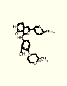 Cc1cc(Nc2nc(-c3ccc(N)nc3)cc3cc[nH]c(=O)c23)ccc1N1CCO[C@H](C)C1